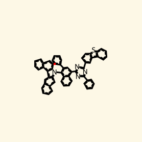 c1ccc(-c2nc(-c3ccc4sc5ccccc5c4c3)nc(-c3cc(-c4ccccc4)c(-n4c5cc6ccccc6cc5c5c6ccccc6ccc54)c4ccccc34)n2)cc1